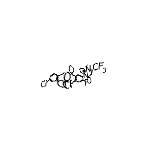 Cn1c(C(F)(F)F)cc(=O)n(-c2cc(C(=O)OCc3ccc(Cl)cc3Cl)c(Cl)cc2F)c1=O